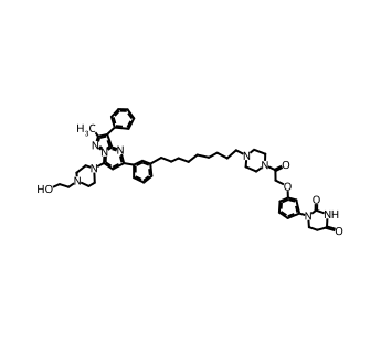 Cc1nn2c(N3CCN(CCO)CC3)cc(-c3cccc(CCCCCCCCCN4CCN(C(=O)COc5cccc(N6CCC(=O)NC6=O)c5)CC4)c3)nc2c1-c1ccccc1